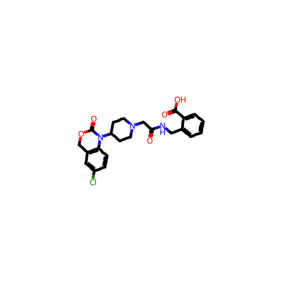 O=C(CN1CCC(N2C(=O)OCc3cc(Cl)ccc32)CC1)NCc1ccccc1C(=O)O